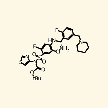 CC(C)(C)OC(=O)N(c1cscn1)S(=O)(=O)c1cc(Cl)c(N[C@@H](N)c2cc(CN3CCCCC3)ccc2F)cc1F